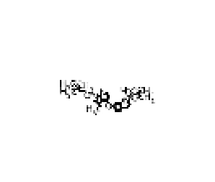 Cc1cn(COCC[Si](C)(C)C)c2nccc(Oc3ccc4c(c3)CN(C(=O)OC(C)(C)C)CC4)c12